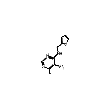 Nc1c(Cl)ncnc1NCc1ccco1